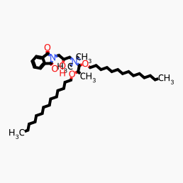 CCCCCCCCCCCCCCOC(C)C(OCCCCCCCCCCCCCC)[N+](C)(C)CC(O)CN1C(=O)c2ccccc2C1=O